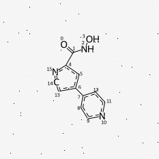 O=C(NO)c1cc(-c2ccncc2)ccn1